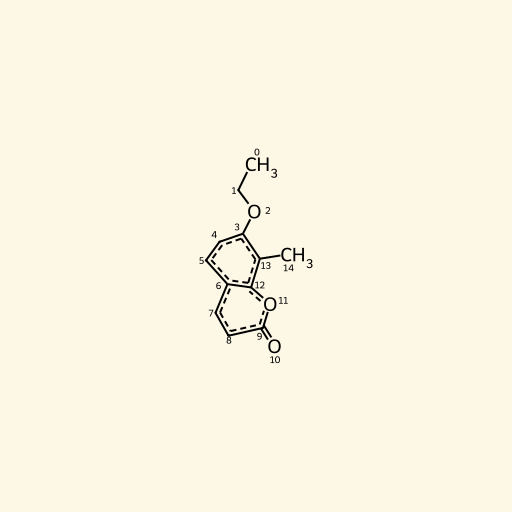 CCOc1ccc2ccc(=O)oc2c1C